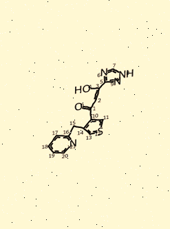 O=C(C=C(O)c1nc[nH]n1)c1cscc1Cc1ccccn1